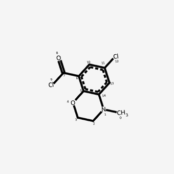 CN1CCOc2c(C(=O)Cl)cc(Cl)cc21